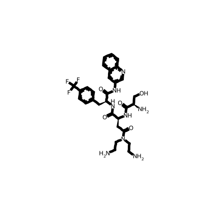 NCCN(CCN)C(=O)C[C@H](NC(=O)[C@H](N)CO)C(=O)N[C@@H](Cc1ccc(C(F)(F)F)cc1)C(=O)Nc1cnc2ccccc2c1